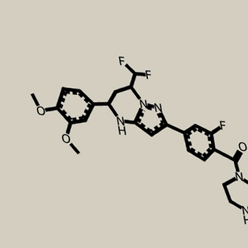 COc1ccc(C2CC(C(F)F)n3nc(-c4ccc(C(=O)N5CCNCC5)c(F)c4)cc3N2)cc1OC